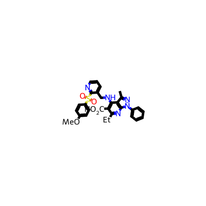 CCc1nc2c(c(C)nn2-c2ccccc2)c(NCc2cccnc2S(=O)(=O)c2ccc(OC)cc2)c1C(=O)O